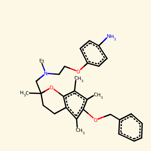 CCN(CCOc1ccc(N)cc1)CC1(C)CCc2c(C)c(OCc3ccccc3)c(C)c(C)c2O1